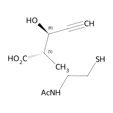 C#C[C@H](O)[C@H](C)C(=O)O.CC(=O)NCCS